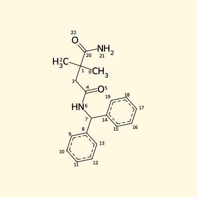 CC(C)(CC(=O)NC(c1ccccc1)c1ccccc1)C(N)=O